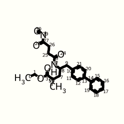 CCOC(=O)[C@H](C)CC(Cc1ccc(-c2ccccc2)cc1)NC(=O)CCC(=O)N=O